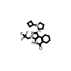 O=c1[nH]c2c(c([C@H]3CCCN3C3CCC3)nn2CC(F)(F)F)c2c1CCCC2